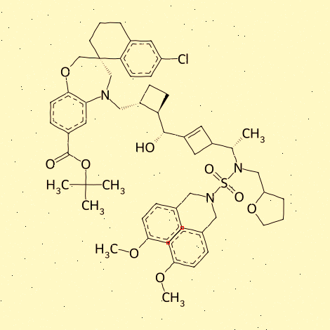 COc1ccc(CN(Cc2ccc(OC)cc2)S(=O)(=O)N(CC2CCCO2)[C@@H](C)C2C=C([C@H](O)[C@@H]3CC[C@H]3CN3C[C@@]4(CCCc5cc(Cl)ccc54)COc4ccc(C(=O)OC(C)(C)C)cc43)C2)cc1